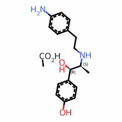 CC(=O)O.C[C@H](NCCc1ccc(N)cc1)[C@H](O)c1ccc(O)cc1